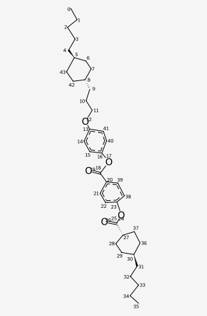 CCCCC[C@H]1CC[C@H](CCCOc2ccc(OC(=O)c3ccc(OC(=O)[C@H]4CC[C@H](CCCCC)CC4)cc3)cc2)CC1